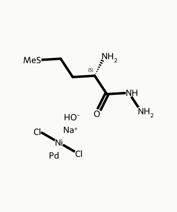 CSCC[C@H](N)C(=O)NN.[Cl][Ni][Cl].[Na+].[OH-].[Pd]